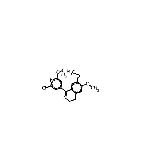 COc1cc(C2=NCCc3cc(OC)c(OC)cc32)cc(Cl)n1